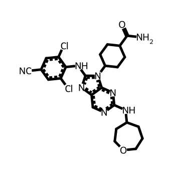 N#Cc1cc(Cl)c(Nc2nc3cnc(NC4CCCOCC4)nc3n2C2CCC(C(N)=O)CC2)c(Cl)c1